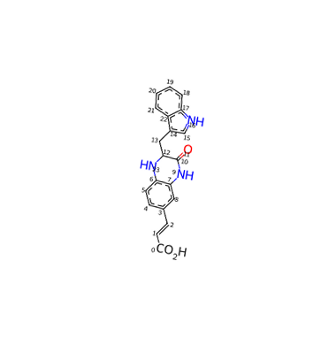 O=C(O)/C=C/c1ccc2c(c1)NC(=O)C(Cc1c[nH]c3ccccc13)N2